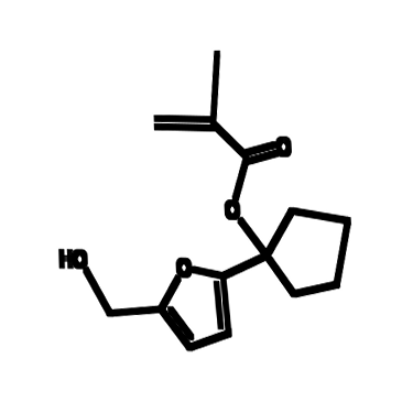 C=C(C)C(=O)OC1(c2ccc(CO)o2)CCCC1